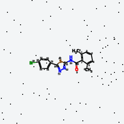 Cc1cccc(C)c1C(=O)Nc1nnc(-c2ccc(Br)cc2)s1